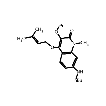 CCCCNc1ccc2c(OCC=C(C)C)c(OC(C)C)c(=O)n(C)c2c1